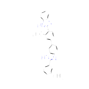 Cc1cccc(-c2nc3ccc(-c4ccc(-c5nc6ccccc6[nH]5)c(C)c4)cc3[nH]2)c1